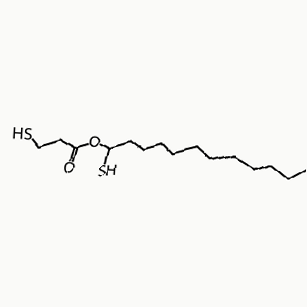 CCCCCCCCCCCC(S)OC(=O)CCS